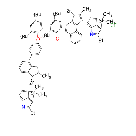 CC(C)(C)c1ccc([O-])c(C(C)(C)C)c1.CC(C)(C)c1ccc([O-])c(C(C)(C)C)c1.CC1=Cc2c(-c3ccccc3)cccc2[CH]1[Zr].CC1=Cc2c(ccc3ccccc23)[CH]1[Zr].CCC1=NC2=CC=C3C2=C1[Si]3(C)C.CCC1=NC2=CC=C3C2=C1[Si]3(C)C.[Cl-]